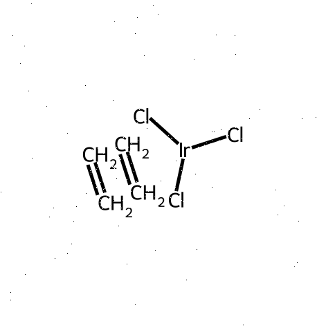 C=C.C=C.[Cl][Ir]([Cl])[Cl]